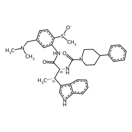 C[C@@H](c1c[nH]c2ccccc12)[C@@H](NC(=O)N1CCC(c2ccccc2)CC1)C(=O)Nc1cc(CN(C)C)ccc1[S+](C)[O-]